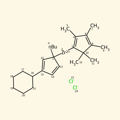 CCCC[C]1([Zr+2][C]2=C(C)C(C)=C(C)C2(C)C)C=CC(C2CCCCC2)=C1.[Cl-].[Cl-]